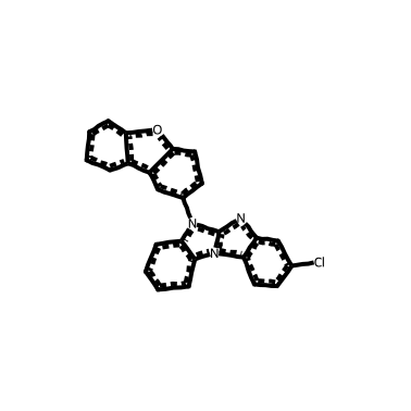 Clc1ccc2c(c1)nc1n(-c3ccc4oc5ccccc5c4c3)c3ccccc3n21